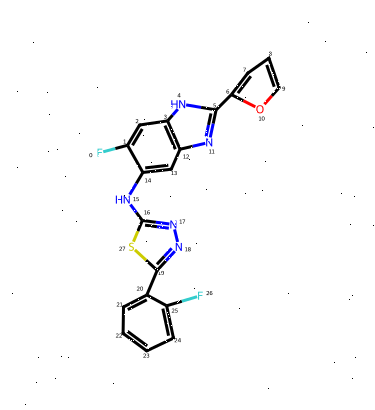 Fc1cc2[nH]c(-c3ccco3)nc2cc1Nc1nnc(-c2ccccc2F)s1